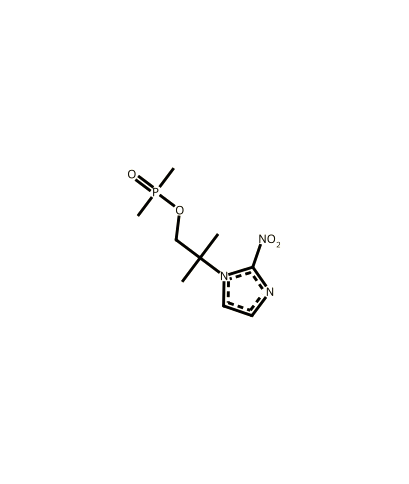 CC(C)(COP(C)(C)=O)n1ccnc1[N+](=O)[O-]